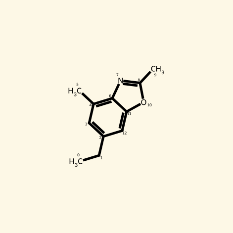 CCc1cc(C)c2nc(C)oc2c1